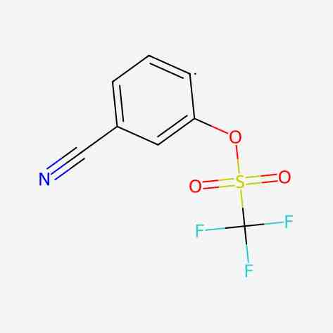 N#Cc1cc[c]c(OS(=O)(=O)C(F)(F)F)c1